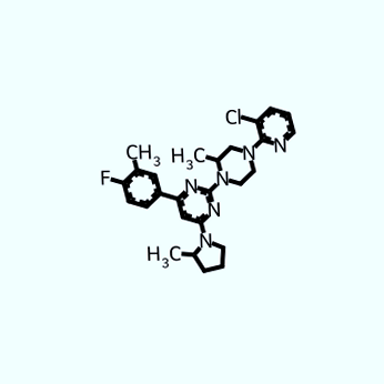 Cc1cc(-c2cc(N3CCCC3C)nc(N3CCN(c4ncccc4Cl)CC3C)n2)ccc1F